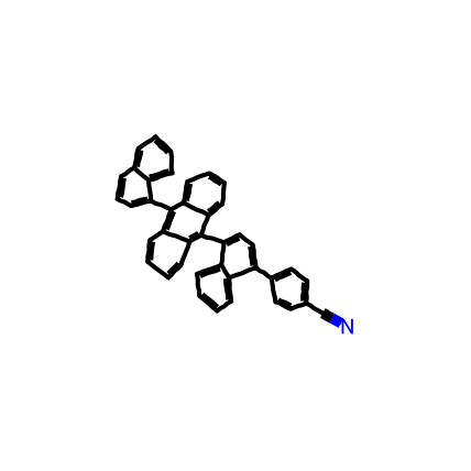 N#Cc1ccc(-c2ccc(-c3c4ccccc4c(-c4cccc5ccccc45)c4ccccc34)c3ccccc23)cc1